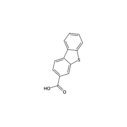 O=C(O)c1ccc2c(c1)sc1ccccc12